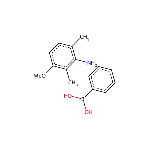 COc1ccc(C)c(N)c1C.OB(O)c1ccccc1